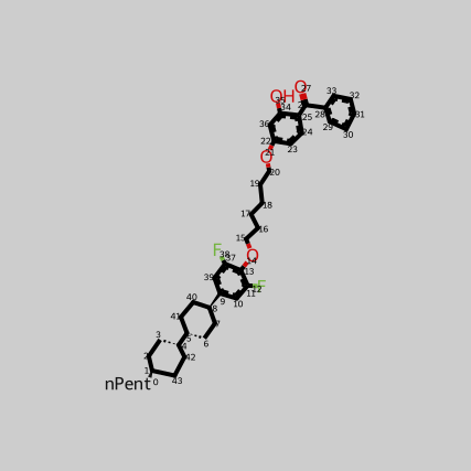 CCCCC[C@H]1CC[C@H]([C@H]2CC[C@H](c3cc(F)c(OCCCCCCOc4ccc(C(=O)c5ccccc5)c(O)c4)c(F)c3)CC2)CC1